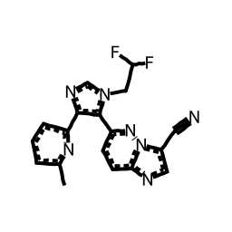 Cc1cccc(-c2ncn(CC(F)F)c2-c2ccc3ncc(C#N)n3n2)n1